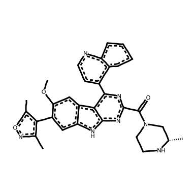 COc1cc2c(cc1-c1c(C)noc1C)[nH]c1nc(C(=O)N3CCN[C@@H](C)C3)nc(-c3ccnc4ccccc34)c12